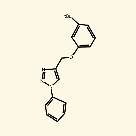 CC(C)(C)c1cccc(OCc2cn(-c3ccccc3)nn2)c1